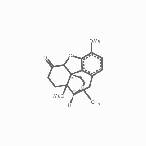 COc1ccc2c3c1OC1C(=O)CCC4(OC)[C@@H](C2)N(C)CC[C@]314